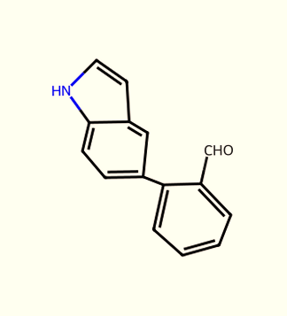 O=Cc1ccccc1-c1ccc2[nH]ccc2c1